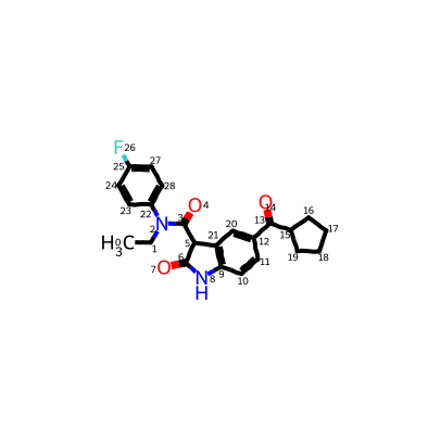 CCN(C(=O)C1C(=O)Nc2ccc(C(=O)C3CCCC3)cc21)c1ccc(F)cc1